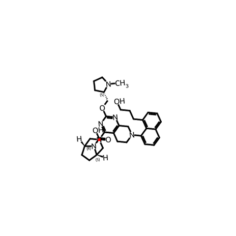 CN1CCC[C@H]1COc1nc2c(c(N3C[C@H]4CC[C@@H](C3)N4C(=O)O)n1)CCN(c1cccc3cccc(CCCO)c13)C2